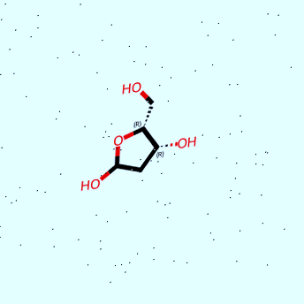 OC[C@H]1OC(O)C[C@H]1O